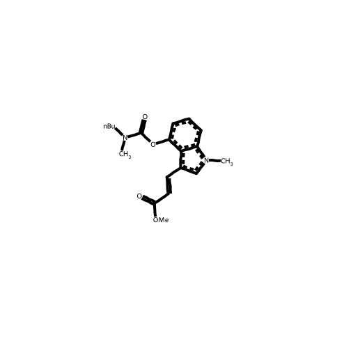 CCCCN(C)C(=O)Oc1cccc2c1c(/C=C/C(=O)OC)cn2C